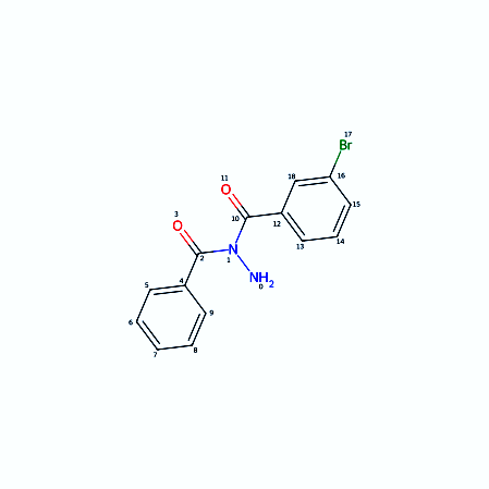 NN(C(=O)c1ccccc1)C(=O)c1cccc(Br)c1